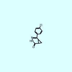 O=C1NN=C(c2ccc(Cl)cc2)C2CC12